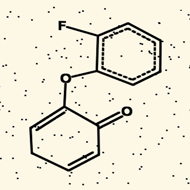 O=C1C=CCC=C1Oc1ccccc1F